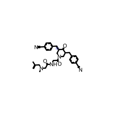 C=C(C)CN(C)CC(=O)NCC(=O)N1C/C(=C\c2ccc(C#N)cc2)C(=O)C(Cc2ccc(C#N)cc2)C1